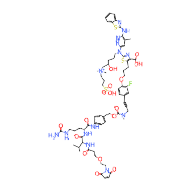 Cc1cc(N(CCCC(O)C[N+](C)(C)CCCS(=O)(=O)O)c2nc(C(=O)O)c(CCCOc3ccc(C#CCN(C)C(=O)OCc4ccc(NC(=O)[C@H](CCCNC(N)=O)NC(=O)[C@@H](NC(=O)CCOCCN5C(=O)C=CC5=O)C(C)C)cc4)cc3F)s2)nnc1Nc1nc2ccccc2s1